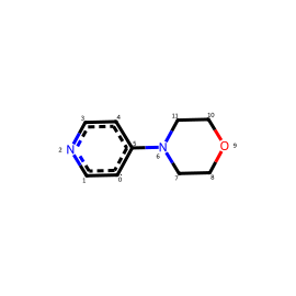 [c]1cnccc1N1CCOCC1